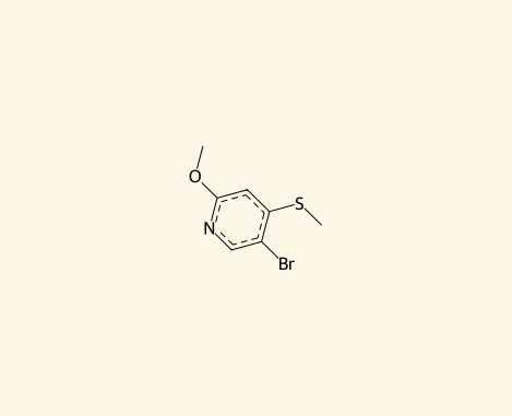 COc1cc(SC)c(Br)cn1